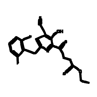 CCOC(=O)CCC(=O)c1nc(Cc2c(F)cccc2F)cc(C#N)c1O